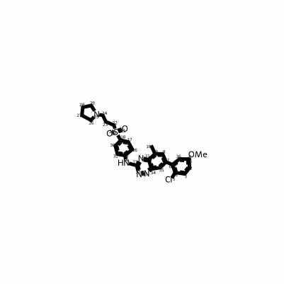 COc1ccc(Cl)c(-c2cc(C)c3nc(Nc4ccc(S(=O)(=O)CCCN5CCCC5)cc4)nnc3c2)c1